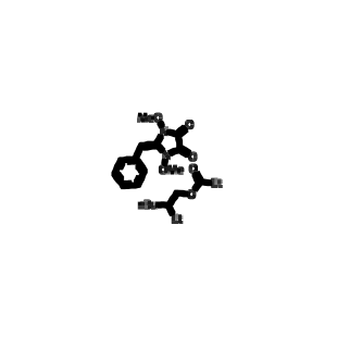 CCCCC(CC)COC(=O)CC.CON1C(=O)C(=O)N(OC)C1=Cc1ccccc1